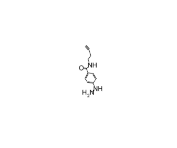 C#CCCNC(=O)c1ccc(NN)cc1